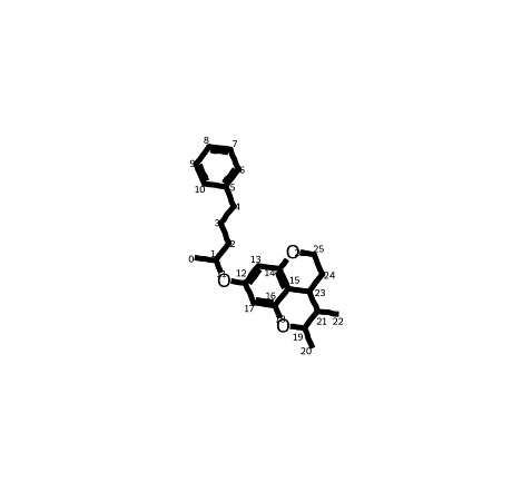 CC(CCCc1ccccc1)Oc1cc2c3c(c1)OC(C)C(C)C3CCO2